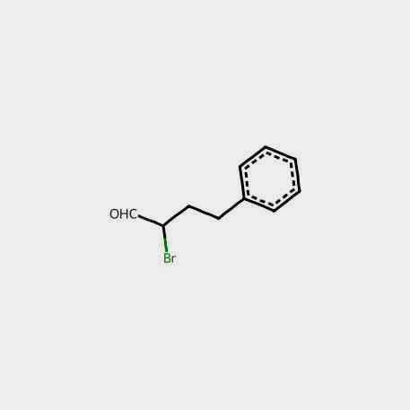 O=CC(Br)CCc1ccccc1